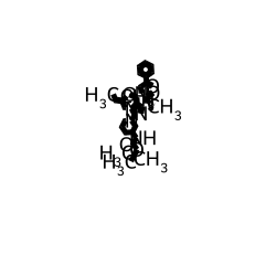 C/C=C(\C)Cn1c(N2CCCC(NC(=O)OC(C)(C)C)C2)nc2c1c(=O)n(CC(=O)c1ccccc1)c(=O)n2C